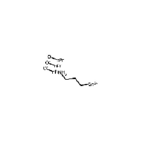 CCC[O-].CCC[O-].CCC[O-].NCC[CH2][Sn+3]